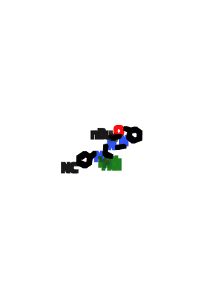 CCCC[C@H]1C(=O)N(c2ccccc2C)CCN1Cc1cncn1Cc1ccc(C#N)cc1.Cl.Cl